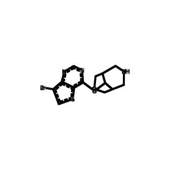 Brc1csc2c(OC3C4CNCC3COC4)ncnc12